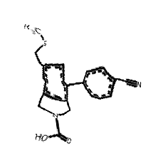 CSCc1cc2c(c(-c3ccc(C#N)cc3)c1)CN(C(=O)O)C2